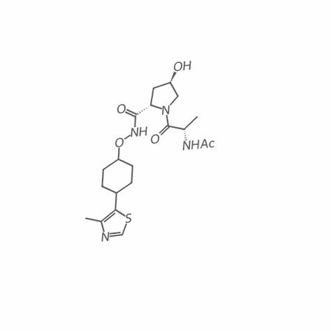 CC(=O)N[C@@H](C)C(=O)N1C[C@H](O)C[C@H]1C(=O)NOC1CCC(c2scnc2C)CC1